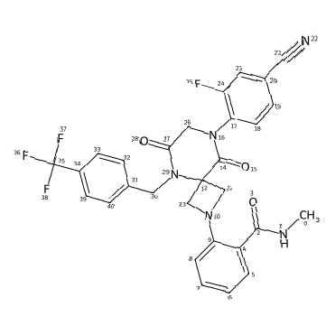 CNC(=O)c1ccccc1N1CC2(C1)C(=O)N(c1ccc(C#N)cc1F)CC(=O)N2Cc1ccc(C(F)(F)F)cc1